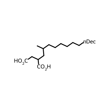 CCCCCCCCCCCCCCCCC(C)CC(CC(=O)O)C(=O)O